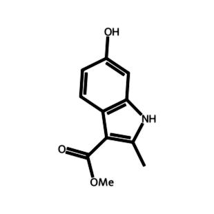 COC(=O)c1c(C)[nH]c2cc(O)ccc12